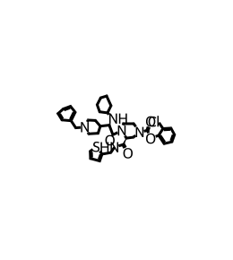 O=C(NCc1cccs1)[C@@H]1CN(C(=O)Oc2ccccc2Cl)CCN1C(=O)[C@H](NC1CCCCC1)C1CCN(Cc2ccccc2)CC1